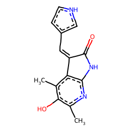 Cc1nc2c(c(C)c1O)C(=Cc1cc[nH]c1)C(=O)N2